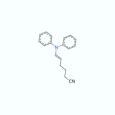 N#CCCCC=CN(c1ccccc1)c1ccccc1